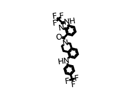 O=C(c1cccc2[nH]c(C(F)(F)F)nc12)N1CCc2c(cccc2Nc2ccc(C(F)(F)F)cc2)C1